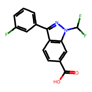 O=C(O)c1ccc2c(-c3cccc(F)c3)nn(C(F)F)c2c1